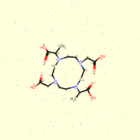 CC(C(=O)O)N1CCN(CC(=O)O)CCN(C(C)C(=O)O)CCN(CC(=O)O)CC1